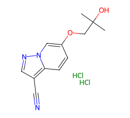 CC(C)(O)COc1ccc2c(C#N)cnn2c1.Cl.Cl